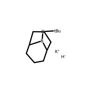 CC(C)(C)OB1C2CCCC1CCC2.[H-].[K+]